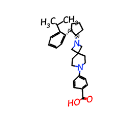 CC(C)c1ccccc1[C@@H]1CCC[C@@H]1N1CC2(CCN(c3ccc(C(=O)O)cc3)CC2)C1